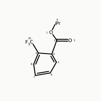 CC(C)OC(=O)c1ccccc1C(F)(F)F